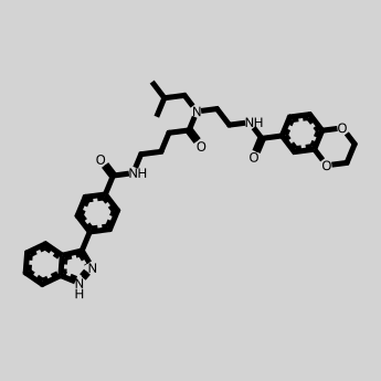 CC(C)CN(CCNC(=O)c1ccc2c(c1)OCCO2)C(=O)CCCNC(=O)c1ccc(-c2n[nH]c3ccccc23)cc1